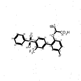 CC(C)(C)C(Oc1ccc(F)cc1-c1ccc(S(=O)(=O)c2ccccc2)c(C(F)(F)F)c1)C(=O)O